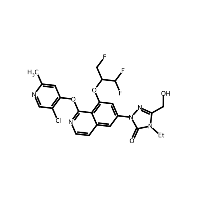 CCn1c(CO)nn(-c2cc(OC(CF)C(F)F)c3c(Oc4cc(C)ncc4Cl)nccc3c2)c1=O